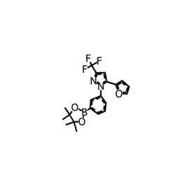 CC1(C)OB(c2cccc(-n3nc(C(F)(F)F)cc3-c3ccco3)c2)OC1(C)C